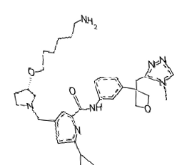 Cn1cnnc1CC1(c2cccc(NC(=O)c3cc(CN4CC[C@H](OCCCCCCN)C4)cc(C4CC4)n3)c2)COC1